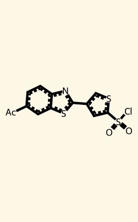 CC(=O)c1ccc2nc(-c3csc(S(=O)(=O)Cl)c3)sc2c1